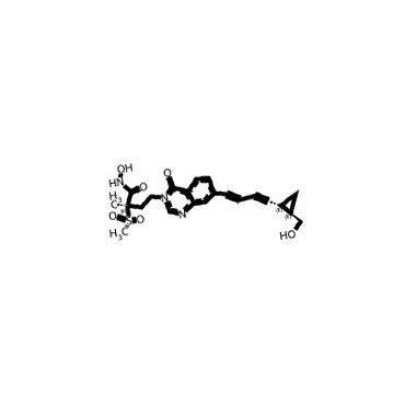 C[C@@](CCn1cnc2cc(C#CC#C[C@@H]3C[C@H]3CO)ccc2c1=O)(C(=O)NO)S(C)(=O)=O